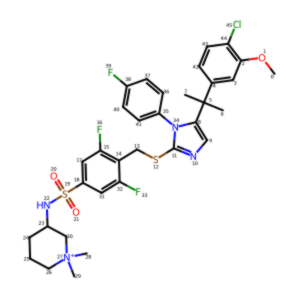 COc1cc(C(C)(C)c2cnc(SCc3c(F)cc(S(=O)(=O)NC4CCC[N+](C)(C)C4)cc3F)n2-c2ccc(F)cc2)ccc1Cl